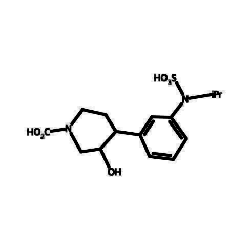 CC(C)N(c1cccc(C2CCN(C(=O)O)CC2O)c1)S(=O)(=O)O